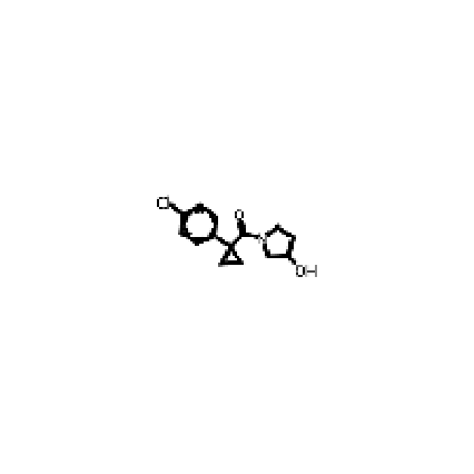 O=C(N1CCC(O)C1)C1(c2ccc(Cl)cc2)CC1